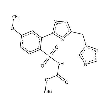 CCCCOC(=O)NS(=O)(=O)c1ccc(OC(F)(F)F)cc1-c1ncc(Cn2ccnc2)s1